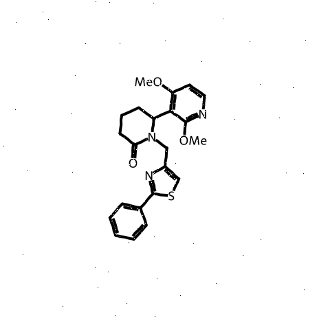 COc1ccnc(OC)c1C1CCCC(=O)N1Cc1csc(-c2ccccc2)n1